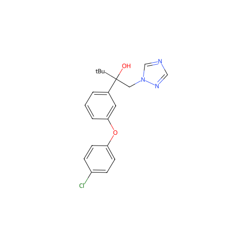 CC(C)(C)C(O)(Cn1cncn1)c1cccc(Oc2ccc(Cl)cc2)c1